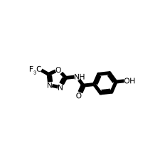 O=C(Nc1nnc(C(F)(F)F)o1)c1ccc(O)cc1